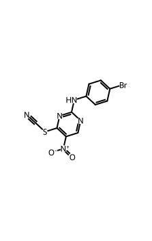 N#CSc1nc(Nc2ccc(Br)cc2)ncc1[N+](=O)[O-]